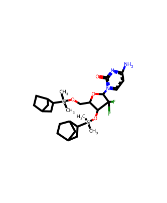 C[Si](C)(OCC1OC(n2ccc(N)nc2=O)C(F)(F)C1O[Si](C)(C)C1CC2CCC1C2)C1CC2CCC1C2